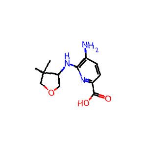 CC1(C)COCC1Nc1nc(C(=O)O)ccc1N